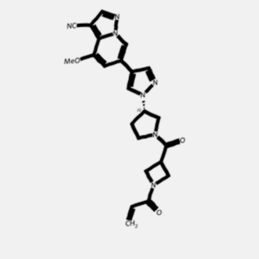 C=CC(=O)N1CC(C(=O)N2CC[C@H](n3cc(-c4cc(OC)c5c(C#N)cnn5c4)cn3)C2)C1